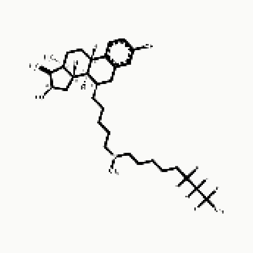 C=C1[C@H](O)C[C@H]2[C@@H]3[C@H](CCCCCN(C)CCCCCC(F)(F)C(F)(F)C(F)(F)C(F)(F)F)Cc4cc(O)ccc4[C@H]3CC[C@]12C